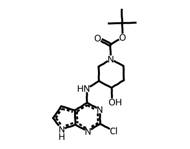 CC(C)(C)OC(=O)N1CCC(O)C(Nc2nc(Cl)nc3[nH]ccc23)C1